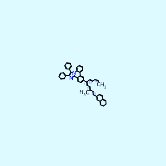 C\C=C/C=C/C(=C\C=C(C)\C=C\c1ccc2c(c1)=CCCC=2)c1ccc2c(c1)c1ccccc1n1c(-c3ccccc3)c(-c3ccccc3)nc21